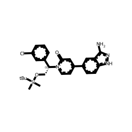 CC(C)(C)[Si](C)(C)OC[C@H](c1cccc(Cl)c1)n1ccc(-c2ccc3[nH]nc(N)c3c2)cc1=O